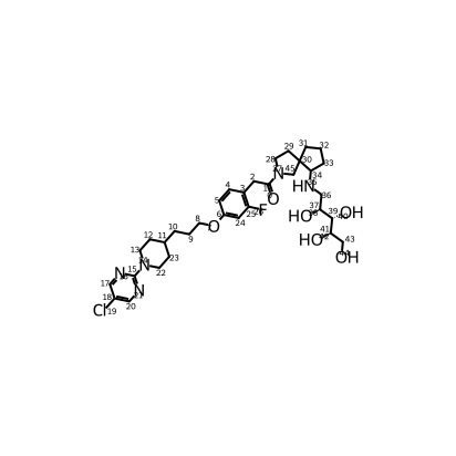 O=C(Cc1ccc(OCCCC2CCN(c3ncc(Cl)cn3)CC2)cc1F)N1CCC2(CCCC2NC[C@H](O)[C@H](O)[C@H](O)CO)C1